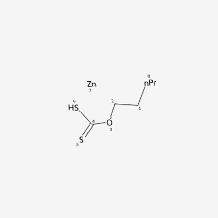 CCCCCOC(=S)S.[Zn]